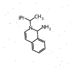 CC(C)C(C)N1C=Cc2ccccc2C1N